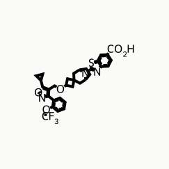 O=C(O)c1ccc2nc(N3C4CCC3CC3(CC(OCc5c(-c6ccccc6OC(F)(F)F)noc5C5CC5)C3)C4)sc2c1